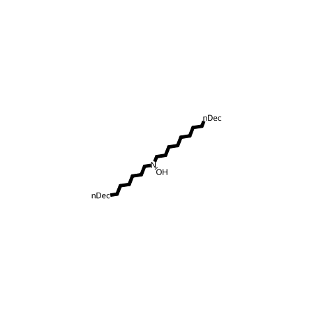 CCCCCCCCCCCCCCCCCCN(O)CCCCCCCCCCCCCCCC